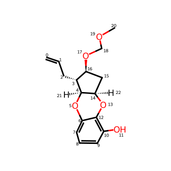 C=CC[C@H]1[C@@H]2Oc3cccc(O)c3O[C@@H]2C[C@@H]1OCOC